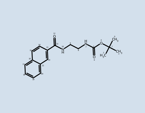 CC(C)(C)OC(=O)NCCNC(=O)c1ccc2ccccc2c1